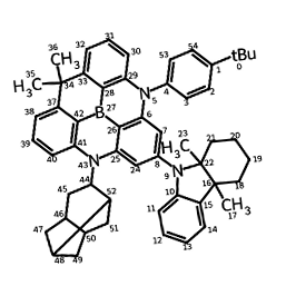 CC(C)(C)c1ccc(N2c3cc(N4c5ccccc5C5(C)CCCCC45C)cc4c3B3c5c2cccc5C(C)(C)c2cccc(c23)N4C2CC3CC4CC3CC42)cc1